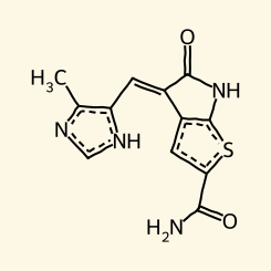 Cc1nc[nH]c1/C=C1/C(=O)Nc2sc(C(N)=O)cc21